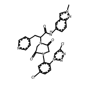 Cn1cc2cc(NC(=O)C(Cc3ccncc3)N3CC(=O)N(c4cc(Cl)ccc4-n4cc(Cl)nn4)CC3=O)ccc2n1